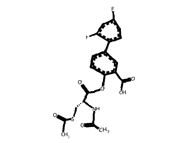 CC(=O)N[C@H](CSC(C)=O)C(=O)Oc1ccc(-c2ccc(F)cc2F)cc1C(=O)O